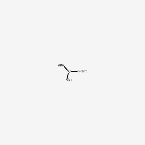 CCCCC[S+](CCCC)CCCC